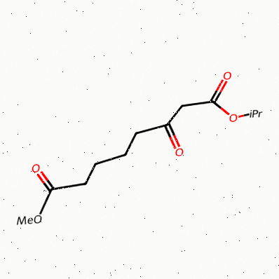 COC(=O)CCCCC(=O)CC(=O)OC(C)C